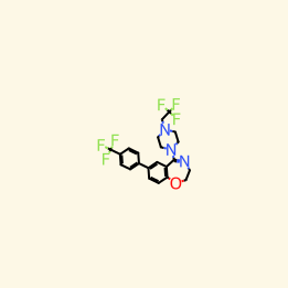 FC(F)(F)CN1CCN(C2=NCCOc3ccc(-c4ccc(C(F)(F)F)cc4)cc32)CC1